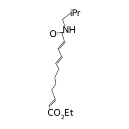 CCOC(=O)C=CCCCCC=CC=CC(=O)NCC(C)C